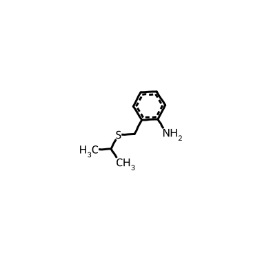 CC(C)SCc1ccccc1N